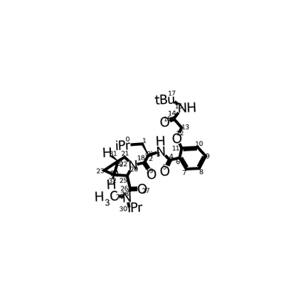 CC(C)C[C@@H](NC(=O)c1ccccc1OCC(=O)NC(C)(C)C)C(=O)N1C[C@H]2C[C@H]2C1C(=O)N(C)C(C)C